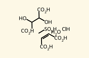 CS(=O)(=O)O.Cl.O.O=C(O)/C=C\C(=O)O.O=C(O)C(O)C(O)C(=O)O